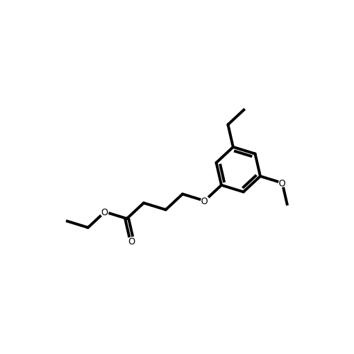 CCOC(=O)CCCOc1cc(CC)cc(OC)c1